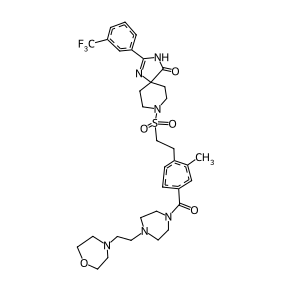 Cc1cc(C(=O)N2CCN(CCN3CCOCC3)CC2)ccc1CCS(=O)(=O)N1CCC2(CC1)N=C(c1cccc(C(F)(F)F)c1)NC2=O